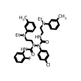 CCN(CCNC(=O)N(c1ccc(Cl)cc1)N(CCN(CC)c1cccc(C)c1)C(=O)Nc1ccccc1F)c1cccc(C)c1